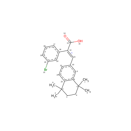 CC1(C)CCC(C)(C)c2cc(/C=C(/C(=O)O)c3cccc(Br)c3)ccc21